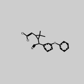 CC1(C)C(C=C(Cl)Cl)C1C(C#N)c1cccc(Oc2ccccc2)c1